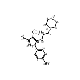 CCc1nn(-c2ccc(C(C)C)cc2)c(OCCN2CCOCC2)c1C(=O)O